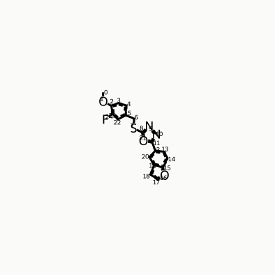 COc1ccc(CSc2nnc(-c3ccc4occc4c3)o2)cc1F